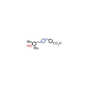 CC(C)(C)c1cc(CCN2CCN(Cc3ccc(C(=O)O)cc3)CC2)cc(C(C)(C)C)c1O